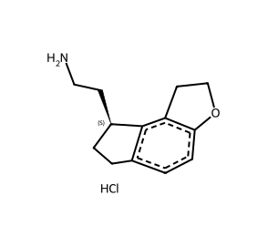 Cl.NCC[C@@H]1CCc2ccc3c(c21)CCO3